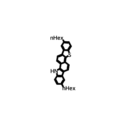 CCCCCCc1ccc2[nH]c3c(ccc4c3ccc3c5cc(CCCCCC)ccc5sc34)c2c1